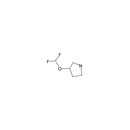 FC(F)OC1CC[N]C1